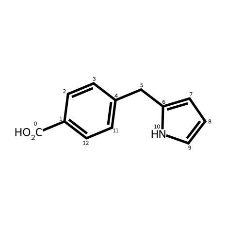 O=C(O)c1ccc(Cc2ccc[nH]2)cc1